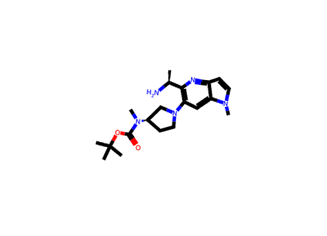 C[C@H](N)c1nc2ccn(C)c2cc1N1CC[C@H](N(C)C(=O)OC(C)(C)C)C1